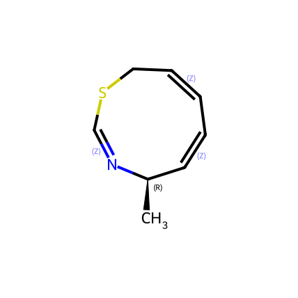 C[C@@H]1/C=C\C=C/CS/C=N\1